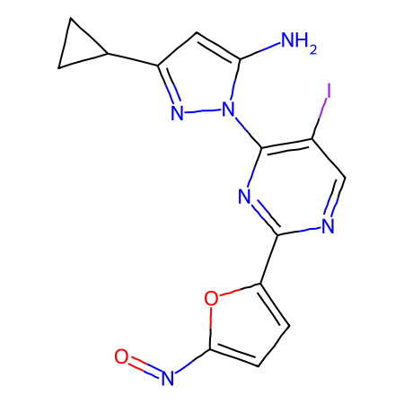 Nc1cc(C2CC2)nn1-c1nc(-c2ccc(N=O)o2)ncc1I